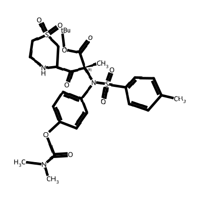 Cc1ccc(S(=O)(=O)N(c2ccc(OC(=O)N(C)C)cc2)[C@@](C)(C(=O)OC(C)(C)C)C(=O)C2CS(=O)(=O)CCN2)cc1